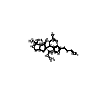 C=CCCc1cc([C@H](C[N+](=O)[O-])[C@@]2(C(=O)OC)CC3COC(C)(C)N3C2=O)co1